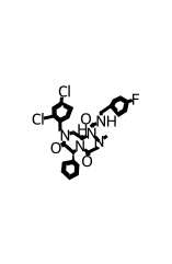 CN1CC(=O)N2[C@@H](c3ccccc3)C(=O)N(Cc3ccc(Cl)cc3Cl)C[C@@H]2N1C(=O)NCc1ccc(F)cc1